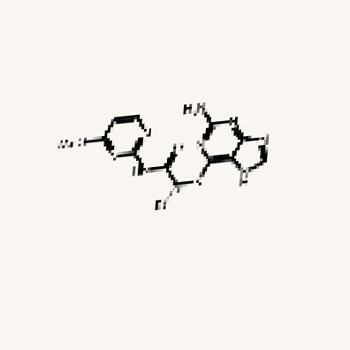 CC[C@@H](Sc1nc(N)nc2nc[nH]c12)C(=O)Nc1nccc(OC)n1